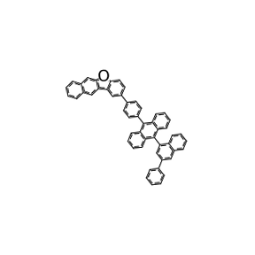 c1ccc(-c2cc(-c3c4ccccc4c(-c4ccc(-c5ccc6oc7cc8ccccc8cc7c6c5)cc4)c4ccccc34)c3ccccc3c2)cc1